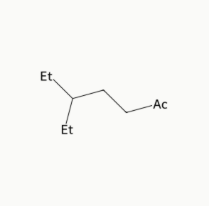 CCC(CC)CCC(C)=O